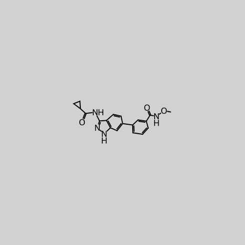 CONC(=O)c1cccc(-c2ccc3c(NC(=O)C4CC4)n[nH]c3c2)c1